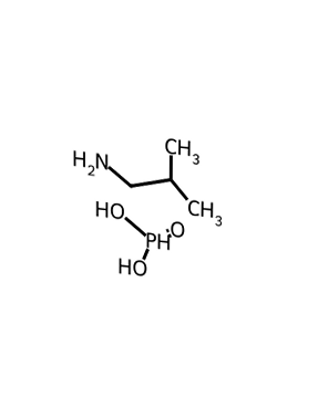 CC(C)CN.O=[PH](O)O